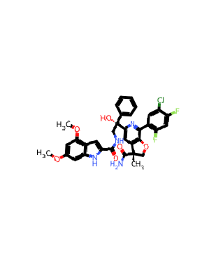 COc1cc(OC)c2cc(C(=O)NC[C@@](O)(c3ccccc3)c3cc4c(c(-c5cc(Cl)c(F)cc5F)n3)OC[C@]4(C)C(N)=O)[nH]c2c1